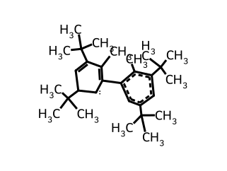 CC1=C(c2cc(C(C)(C)C)cc(C(C)(C)C)c2C)[C]C(C(C)(C)C)C=C1C(C)(C)C